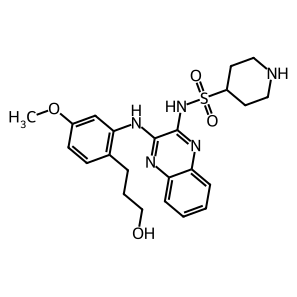 COc1ccc(CCCO)c(Nc2nc3ccccc3nc2NS(=O)(=O)C2CCNCC2)c1